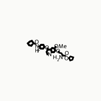 COc1cc2c(Oc3ccc(NC(=O)c4ccccc4)c(F)c3)ccnc2cc1OCC[C@H](N)C(=O)OC1CCCC1